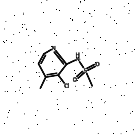 Cc1ccnc(NS(C)(=O)=O)c1Cl